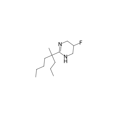 CCCCC(C)(CCC)C1=NCC(F)CN1